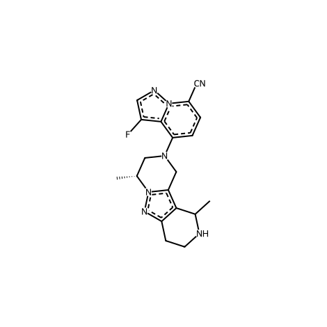 CC1NCCc2nn3c(c21)CN(c1ccc(C#N)n2ncc(F)c12)C[C@H]3C